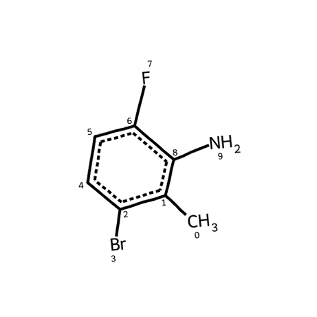 Cc1c(Br)ccc(F)c1N